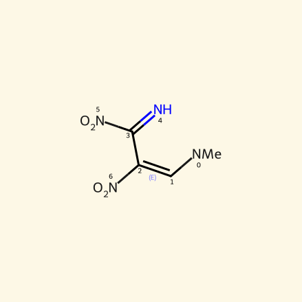 CN/C=C(\C(=N)[N+](=O)[O-])[N+](=O)[O-]